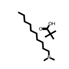 CC(C)(C)C(=O)O.CCCCCCCCCCN(C)C